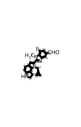 Cn1c(-c2cc3ccc4c(c3n2CC2CC2)CCN4)nc2cc(C=O)cc(F)c21